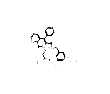 COc1cc(CNC(=O)c2c(-c3ccc(Cl)cc3)c3cccnc3c(=O)n2CCC(C)CO)cc(OC)c1